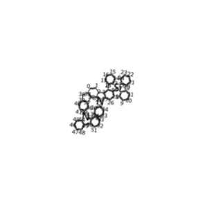 C1=CC2c3cc([Si](c4ccccc4)(c4ccccc4)c4ccccc4)ccc3N(c3ccccc3)C2C2=C1Cc1ccc(-n3c4ccccc4c4ccccc43)cc12